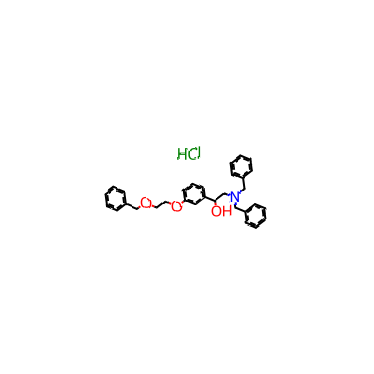 Cl.OC(CN(Cc1ccccc1)Cc1ccccc1)c1cccc(OCCOCc2ccccc2)c1